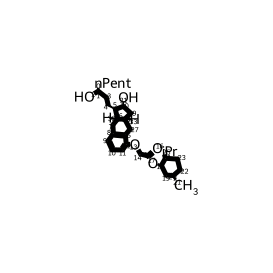 CCCCC[C@H](O)CC[C@@H]1[C@H]2Cc3cccc(OCC(=O)O[C@@H]4C[C@H](C)CCC4C(C)C)c3C[C@H]2C[C@H]1O